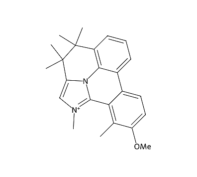 COc1ccc2c3cccc4c3n3c(c[n+](C)c3c2c1C)C(C)(C)C4(C)C